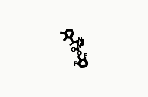 Cc1cccc([C@H](C)c2nccn2C(=O)OCc2c(F)cccc2F)c1C